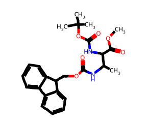 COC(=O)C(NC(=O)OC(C)(C)C)C(C)NC(=O)OCC1c2ccccc2-c2ccccc21